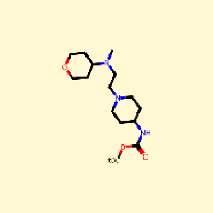 CN(CCN1CCC(NC(=O)OC(C)(C)C)CC1)C1CCOCC1